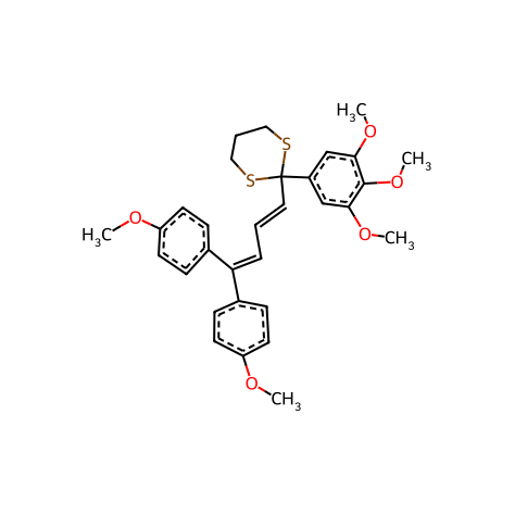 COc1ccc(C(=CC=CC2(c3cc(OC)c(OC)c(OC)c3)SCCCS2)c2ccc(OC)cc2)cc1